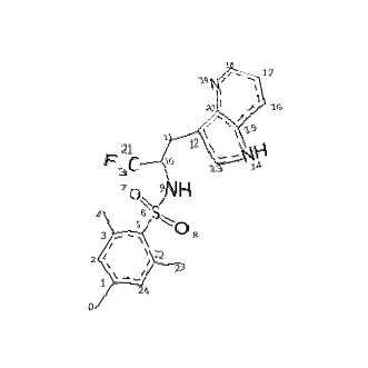 Cc1cc(C)c(S(=O)(=O)NC(Cc2c[nH]c3cccnc23)C(F)(F)F)c(C)c1